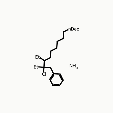 CCCCCCCCCCCCCCCCC(CC)C(Cl)(CC)Cc1ccccc1.N